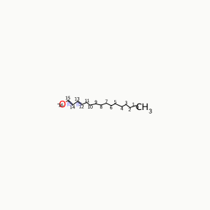 CCCCCCCCCCCC/C=C/C=C/[O]